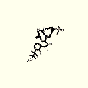 Cc1nc(N[C@H](C)c2cccc(C(F)(F)C(C)(C)O)c2F)c2cc(P(C)(C)=O)cnc2n1